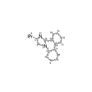 CC(C)c1cn2c3ccccc3c3ccccc3c2n1